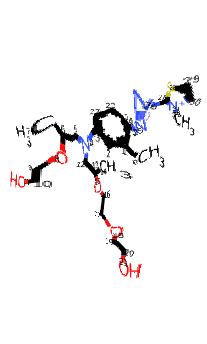 Cc1cc(N(CC(C)OCCO)CC(C)OCCOCCO)ccc1/N=N/c1scc[n+]1C